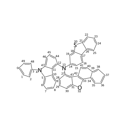 c1ccc(-n2c3ccccc3c3c(N(c4ccc5c(c4)sc4ccccc45)c4cccc5oc6c7ccccc7ccc6c45)cccc32)cc1